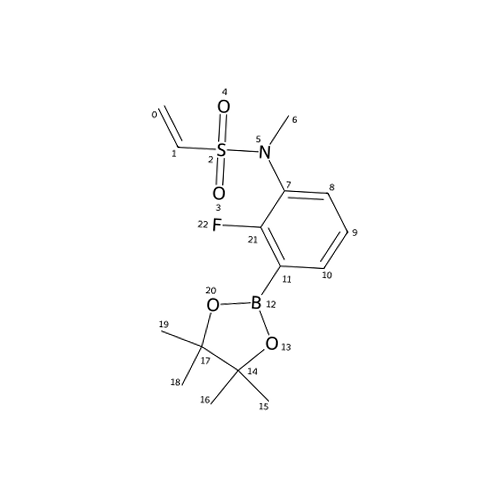 C=CS(=O)(=O)N(C)c1cccc(B2OC(C)(C)C(C)(C)O2)c1F